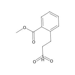 COC(=O)c1ccccc1CC[SH](=O)=O